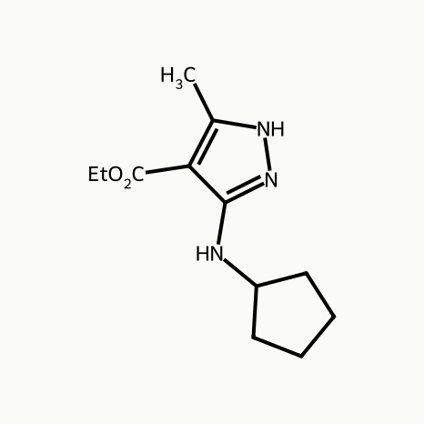 CCOC(=O)c1c(NC2CCCC2)n[nH]c1C